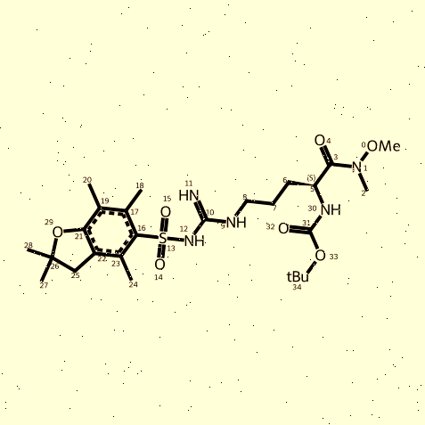 CON(C)C(=O)[C@H](CCCNC(=N)NS(=O)(=O)c1c(C)c(C)c2c(c1C)CC(C)(C)O2)NC(=O)OC(C)(C)C